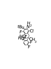 CC(C)(C)c1c(N)c(Cl)c(CC(C)(C)c2c(O)ccc(F)c2F)c(Cl)c1F